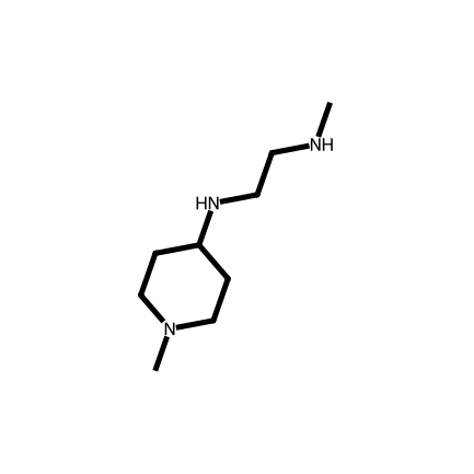 CNCCNC1CCN(C)CC1